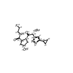 CC(C)(C)[C@@H](C(=O)N1C[C@H](O)C[C@H]1C(=O)NCCF)n1cc(C2CC2)nn1